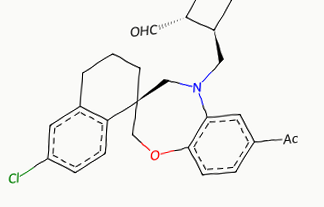 CC(=O)c1ccc2c(c1)N(C[C@@H]1CC[C@H]1C=O)C[C@@]1(CCCc3cc(Cl)ccc31)CO2